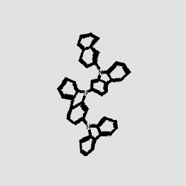 c1ccc2cc(-n3c4ccccc4c4ccc(-n5c6ccccc6c6ccc(-n7c8ccccc8c8ccccc87)cc65)cc43)ccc2c1